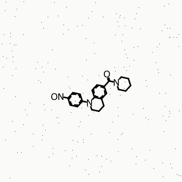 O=Nc1ccc(N2CCCc3cc(C(=O)N4CCCCC4)ccc32)cc1